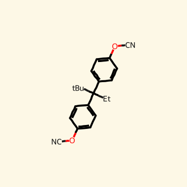 CCC(c1ccc(OC#N)cc1)(c1ccc(OC#N)cc1)C(C)(C)C